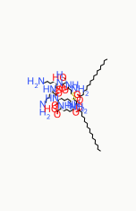 CCCCCCCCCCCCCCCC(=O)OCC(CSC[C@@H](N)C(=O)N[C@@H](CO)C(=O)N[C@@H](CCCCN)C(=O)N[C@@H](CCCCN)C(=O)N[C@@H](CCCCN)C(=O)N[C@H](CCCCN)C(=O)O)OC(=O)CCCCCCCCCCCCCCC